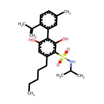 C=C(C)c1ccc(C)cc1-c1c(O)cc(CCCCC)c(S(=O)(=O)NC(C)C)c1O